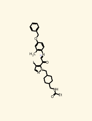 CCC(=O)NCC1CCC(Cn2ncc(I)c2C(=O)/C=N/c2ccc(OCc3ccccc3)cc2C)CC1